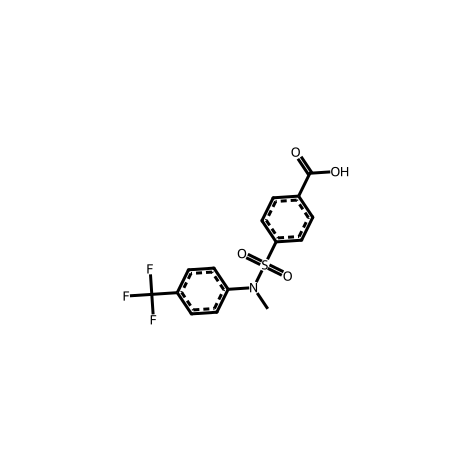 CN(c1ccc(C(F)(F)F)cc1)S(=O)(=O)c1ccc(C(=O)O)cc1